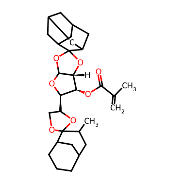 C=C(C)C(=O)O[C@H]1[C@@H](C2COC3(O2)C(C)CC2CCCC3C2)OC2OC3(O[C@@H]21)C1CC2CC(C1)CC3C2